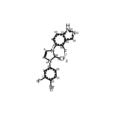 Fc1cc(N2C=CN(c3ccc4[nH]ncc4c3F)C2C(F)(F)F)ccc1Br